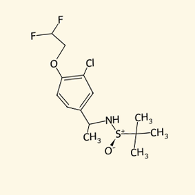 CC(N[S@+]([O-])C(C)(C)C)c1ccc(OCC(F)F)c(Cl)c1